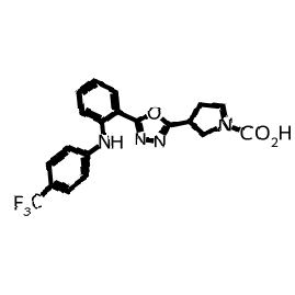 O=C(O)N1CCC(c2nnc(-c3ccccc3Nc3ccc(C(F)(F)F)cc3)o2)C1